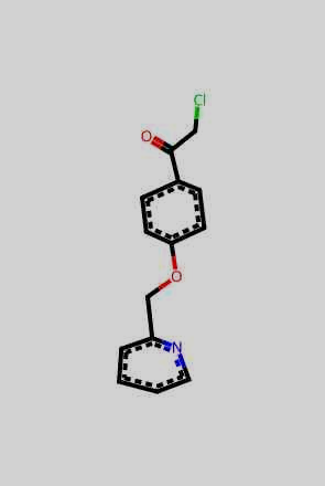 O=C(CCl)c1ccc(OCc2ccccn2)cc1